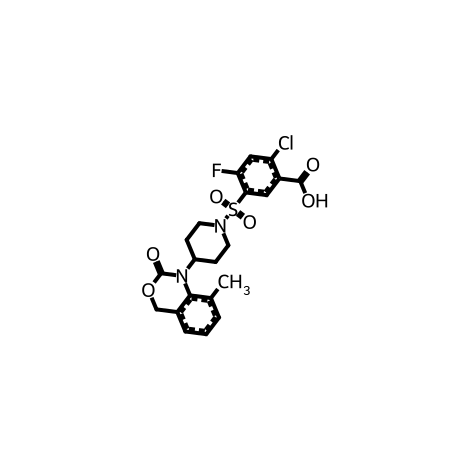 Cc1cccc2c1N(C1CCN(S(=O)(=O)c3cc(C(=O)O)c(Cl)cc3F)CC1)C(=O)OC2